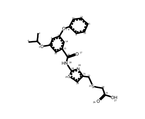 CC(C)Oc1cc(Oc2ccccc2)cc(C(=O)Nc2nc(CSCC(=O)O)cs2)c1